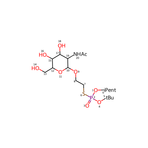 CCCC(C)OP(=O)(OC(C)(C)C)SCCOC1OC(CO)C(O)C(O)C1NC(C)=O